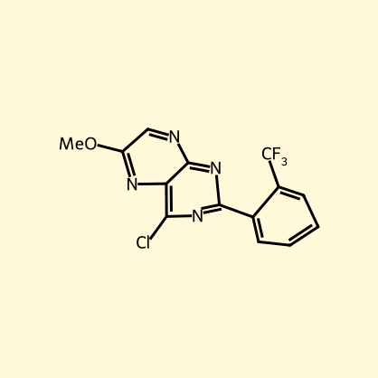 COc1cnc2nc(-c3ccccc3C(F)(F)F)nc(Cl)c2n1